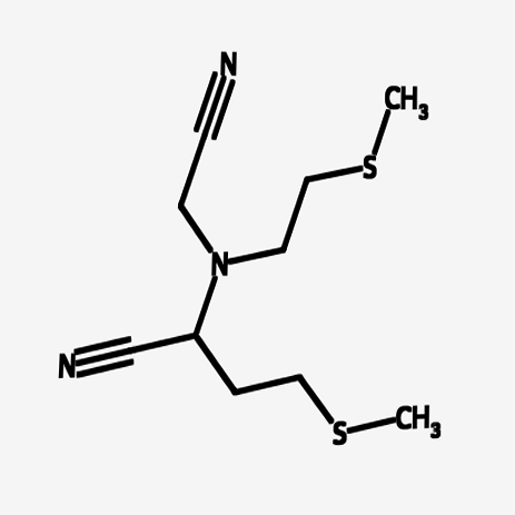 CSCCC(C#N)N(CC#N)CCSC